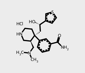 CN(C)C[C@H]1CNCC[C@@]1(C[C@H](O)c1ccsc1)c1cccc(C(N)=O)c1.Cl